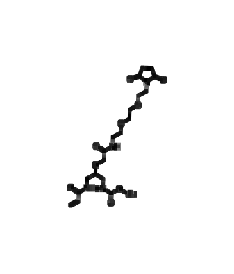 C=CC(=O)NCC(CNC(=O)OC(C)(C)C)OCC(=O)NCCOCCOCCN1C(=O)C=CC1=O